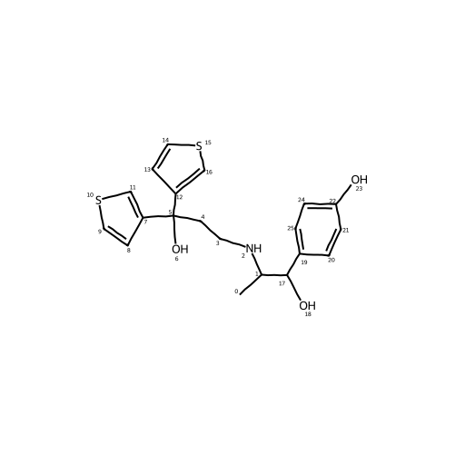 CC(NCCC(O)(c1ccsc1)c1ccsc1)C(O)c1ccc(O)cc1